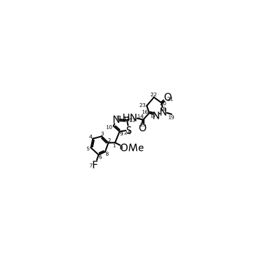 COC(c1cccc(F)c1)c1cnc(NC(=O)C2=NN(C)C(=O)CC2)s1